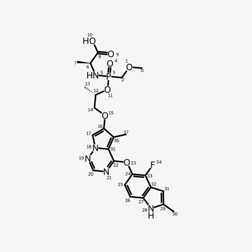 COCP(=O)(N[C@@H](C)C(=O)O)O[C@@H](C)COc1cn2ncnc(Oc3ccc4[nH]c(C)cc4c3F)c2c1C